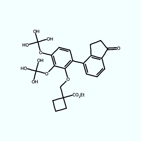 CCOC(=O)C1(COc2c(-c3cccc4c3CCC4=O)ccc(OC(O)(O)O)c2OC(O)(O)O)CCC1